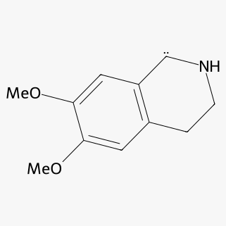 COc1cc2c(cc1OC)CCN[C]2